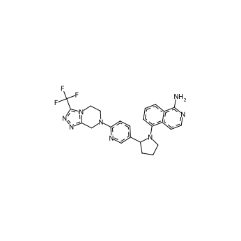 Nc1nccc2c(N3CCCC3c3ccc(N4CCn5c(nnc5C(F)(F)F)C4)nc3)cccc12